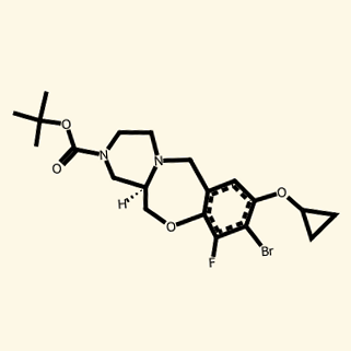 CC(C)(C)OC(=O)N1CCN2Cc3cc(OC4CC4)c(Br)c(F)c3OC[C@H]2C1